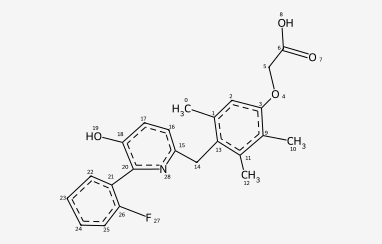 Cc1cc(OCC(=O)O)c(C)c(C)c1Cc1ccc(O)c(-c2ccccc2F)n1